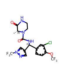 C[C@@H]1C(=O)NCCN1C(=O)N[C@@H](c1ccc(OC(F)(F)F)c(Cl)c1)c1cnn(C(F)(F)F)c1